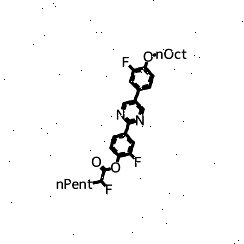 CCCCCCCCOc1ccc(-c2cnc(-c3ccc(OC(=O)C(F)CCCCC)c(F)c3)nc2)cc1F